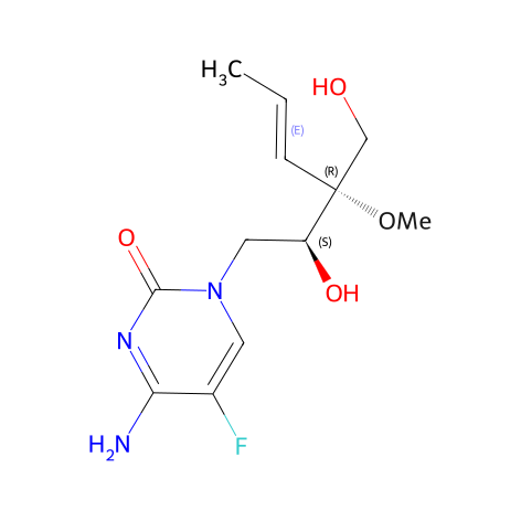 C/C=C/[C@](CO)(OC)[C@@H](O)Cn1cc(F)c(N)nc1=O